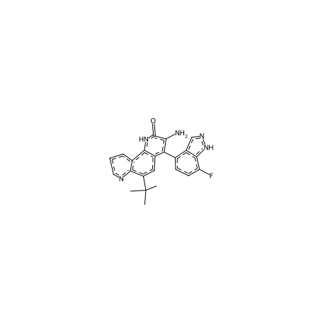 CC(C)(C)c1cc2c(-c3ccc(F)c4[nH]ncc34)c(N)c(=O)[nH]c2c2cccnc12